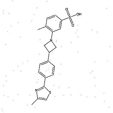 Cc1csc(-c2ccc(C3CN(c4cc(S(=O)(=O)O)ccc4C)C3)cc2)n1